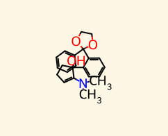 CN(C)C1=CCCC1(O)c1ccccc1C1(c2ccccc2)OCCO1